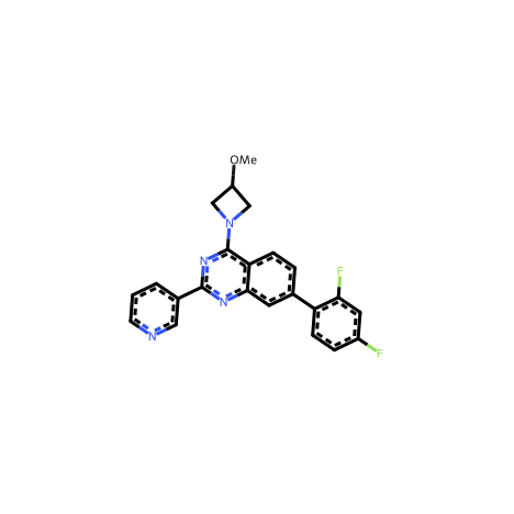 COC1CN(c2nc(-c3cccnc3)nc3cc(-c4ccc(F)cc4F)ccc23)C1